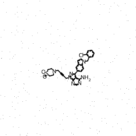 Nc1ncnc2c1c(-c1ccc3c(ccn3Cc3ccccc3Cl)c1)nn2CC#CCN1CCS(=O)(=O)CC1